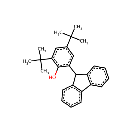 CC(C)(C)c1cc(C2c3ccccc3-c3ccccc32)c(O)c(C(C)(C)C)c1